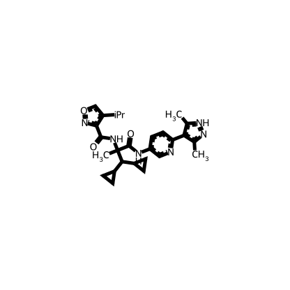 Cc1n[nH]c(C)c1-c1ccc(NC(=O)C(C)(NC(=O)c2nocc2C(C)C)C(C2CC2)C2CC2)cn1